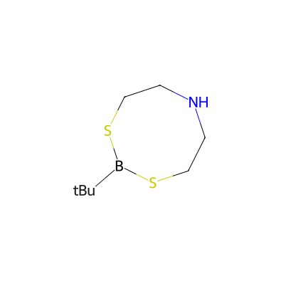 CC(C)(C)B1SCCNCCS1